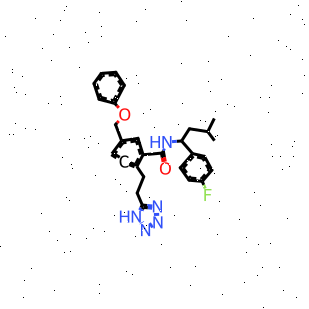 CC(C)CC(NC(=O)c1cc(COc2ccccc2)ccc1CCc1nnn[nH]1)c1ccc(F)cc1